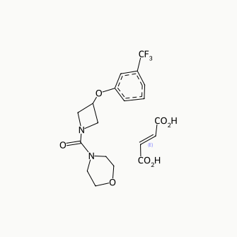 O=C(N1CCOCC1)N1CC(Oc2cccc(C(F)(F)F)c2)C1.O=C(O)/C=C/C(=O)O